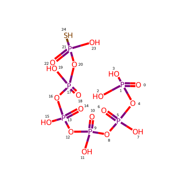 O=P(O)(O)OP(=O)(O)OP(=O)(O)OP(=O)(O)OP(=O)(O)OP(=O)(O)S